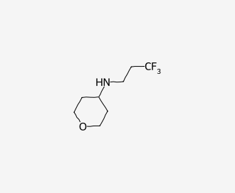 FC(F)(F)CCNC1CCOCC1